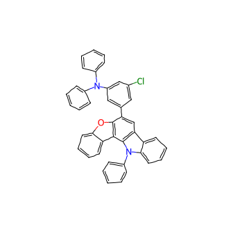 Clc1cc(-c2cc3c4ccccc4n(-c4ccccc4)c3c3c2oc2ccccc23)cc(N(c2ccccc2)c2ccccc2)c1